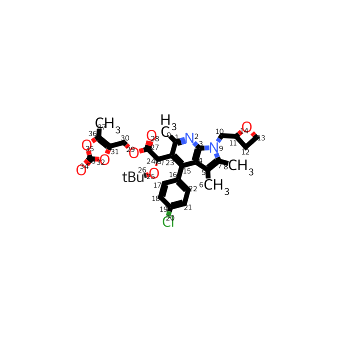 Cc1nc2c(c(C)c(C)n2CC2CCO2)c(-c2ccc(Cl)cc2)c1[C@H](OC(C)(C)C)C(=O)OCc1oc(=O)oc1C